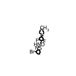 CN1CCN(c2cc(F)c(C(=O)Nc3nc4c(Br)cccc4s3)c(F)c2)CC1